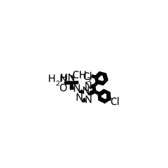 CNC1(C(N)=O)CN(c2ncnc3c(-c4ccc(Cl)cc4)c(-c4ccccc4Cl)nn23)C1